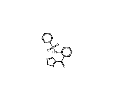 O=C(C1=NCN=C1)c1ccccc1NS(=O)(=O)c1ccccc1